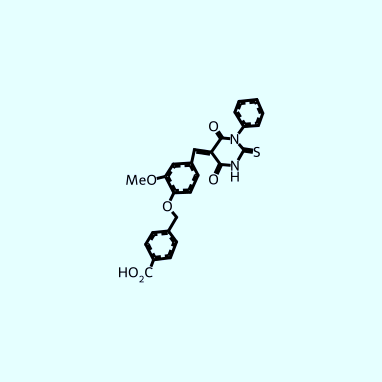 COc1cc(/C=C2\C(=O)NC(=S)N(c3ccccc3)C2=O)ccc1OCc1ccc(C(=O)O)cc1